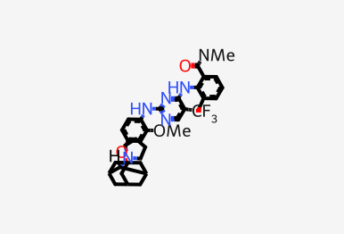 CNC(=O)c1cccc(C)c1Nc1nc(Nc2ccc(O[C@]34CC5CC(C3)[C@@H](N3CCCC3)C(C5)C4)cc2OC)ncc1C(F)(F)F